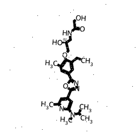 CCc1cc(-c2nnc(-c3cc(C)nc(N(C)C(C)C)c3)o2)cc(C)c1OC[C@@H](O)CNC(=O)CO